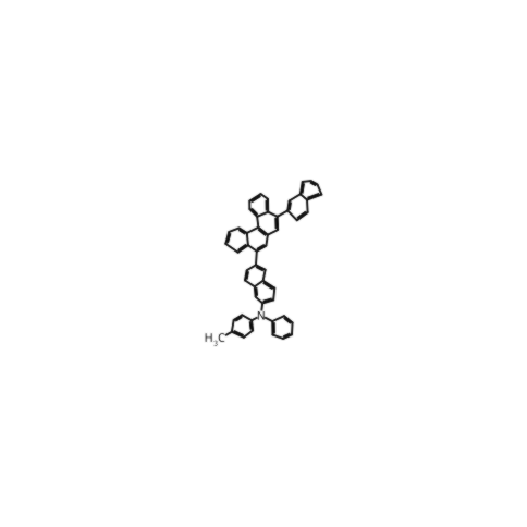 Cc1ccc(N(c2ccccc2)c2ccc3cc(-c4cc5cc(-c6ccc7ccccc7c6)c6ccccc6c5c5ccccc45)ccc3c2)cc1